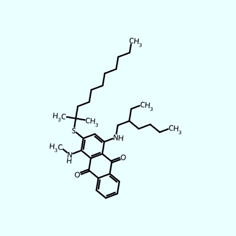 CCCCCCCCCC(C)(C)Sc1cc(NCC(CC)CCCC)c2c(c1NC)C(=O)c1ccccc1C2=O